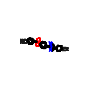 CCC1CCC(c2cnc(-c3ccc(OC(=O)c4ccc(C#N)cc4)cc3)nc2)CC1